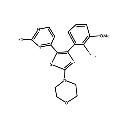 COc1cccc(-c2nc(N3CCOCC3)sc2-c2ccnc(Cl)n2)c1N